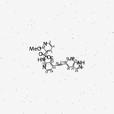 COc1ncccc1S(=O)(=O)Nc1nccc(C#Cc2cnc3[nH]ncc3c2)c1F